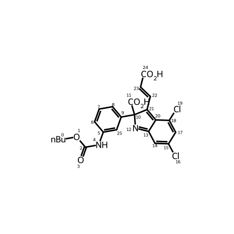 CCCCOC(=O)Nc1cccc(C2(C(=O)O)N=c3cc(Cl)cc(Cl)c3=C2C=CC(=O)O)c1